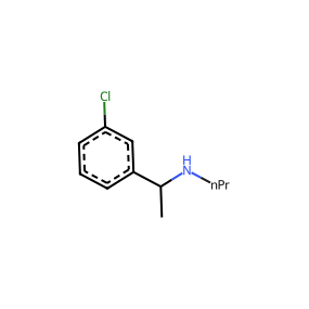 CCCNC(C)c1cccc(Cl)c1